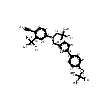 N#Cc1ccc(N(Cc2ccc(-c3ccc(OC(F)(F)F)cc3)o2)CC(F)(F)F)cc1C(F)(F)F